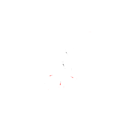 CC(=O)O[C@@H]1[C@H](O)[C@H](O)[C@H]2[C@@H]3CCc4cc(O)ccc4[C@H]3CC[C@@]21C